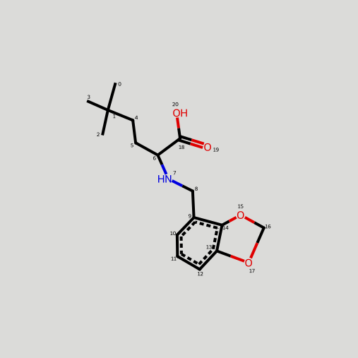 CC(C)(C)CCC(NCc1cccc2c1OCO2)C(=O)O